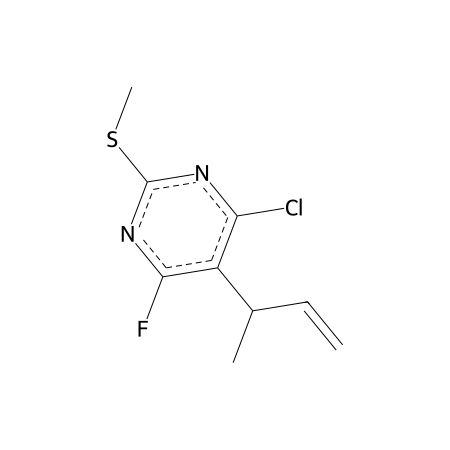 C=CC(C)c1c(F)nc(SC)nc1Cl